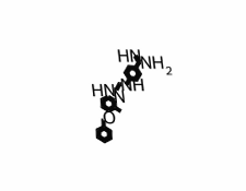 Cc1c(OCc2ccccc2)ccc2[nH]c(CNc3ccc(C(=N)N)cc3)nc12